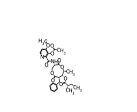 CCC(C)C(=O)O[C@H]1[C@H](C)OC(=O)[C@@H](NC(=O)c2nccc(OC)c2OC(C)=O)COC(=O)[C@@H]1Cc1ccccc1